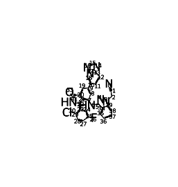 N#CCn1nc(Nc2cc(-c3ccc4ncnn4c3)cc3c2C(c2cc(F)ccc2Cl)NC3=O)c2ccccc21